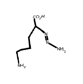 NCCCC(N=NN)C(=O)O